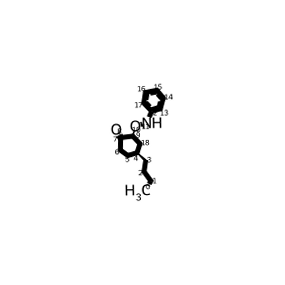 CCCC[C@H]1CCC(=O)[C@H](ONc2ccccc2)C1